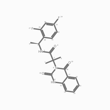 C[C@H](NC(=O)C(C)(C)n1c(=O)[nH]c2ccccc2c1=O)c1ccc(F)cc1F